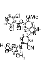 COc1cc2[nH]nc(-c3cnc(N4CC(C)(CS(C)(=O)=O)C4)c(C#N)c3)c2cc1O[C@@H](C)c1c(Cl)cncc1Cl